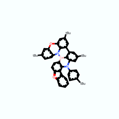 CC(C)(C)c1ccc(N2c3cc(C(C)(C)C)cc4c3B(c3ccc5oc6ccccc6c5c32)N2c3ccc(C(C)(C)C)cc3Oc3cc(C(C)(C)C)cc-4c32)cc1